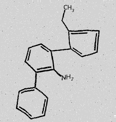 CCc1ccccc1-c1cccc(-c2ccccc2)c1N